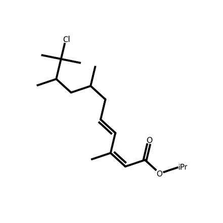 CC(C=CCC(C)CC(C)C(C)(C)Cl)=CC(=O)OC(C)C